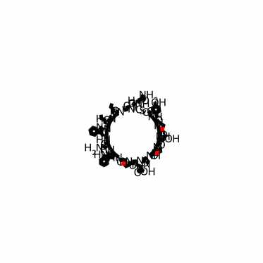 CCCC[C@H]1C(=O)N(C)[C@@H](CCCC)C(=O)N[C@@H](C)C(=O)N[C@H](C(=O)NCC(N)=O)CSCC(=O)N[C@@H](Cc2ccc(O)cc2)C(=O)N2CCC[C@H]2C(=O)NC(CC(=O)O)C(=O)N2CCC[C@H]2C(=O)N[C@@H](CN)C(=O)N[C@@H](CCC(=O)O)C(=O)N2CCC[C@H]2C(=O)N[C@@H](Cc2c[nH]c3ccccc23)C(=O)N[C@@H](CCN)C(=O)N[C@@H](Cc2c[nH]c3ccccc23)C(=O)N1C